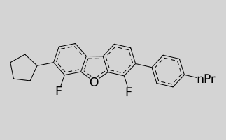 CCCc1ccc(-c2ccc3c(oc4c(F)c(C5CCCC5)ccc43)c2F)cc1